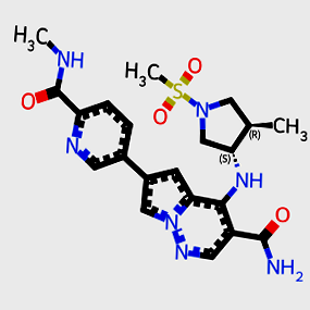 CNC(=O)c1ccc(-c2cc3c(N[C@@H]4CN(S(C)(=O)=O)C[C@H]4C)c(C(N)=O)cnn3c2)cn1